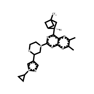 Cc1nc2nc(N3CCOC(c4cnn(C5CC5)c4)C3)nc([C@@H]3CC4(C(F)(F)F)CC3C4)c2nc1C